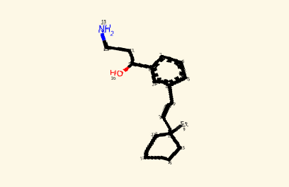 CCC1(CCc2cccc(C(O)CCN)c2)CCCC1